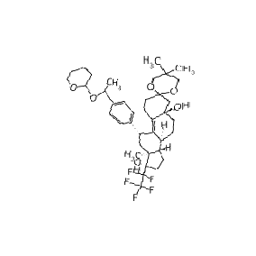 CC(OC1CCCCO1)c1ccc([C@H]2C[C@@]3(C)[C@@H](CC[C@@]3(O)C(F)(F)C(F)(F)F)[C@@H]3CC[C@@]4(O)CC5(CCC4=C32)OCC(C)(C)CO5)cc1